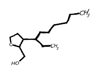 CCCCCCC(CC)C1CCOC1CO